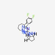 Cc1cc(N2C[C@H]3CC[C@@H](C2)[C@H]3Nc2nc3n(n2)CCCC[C@H]3c2ccc(F)c(F)c2)ncn1